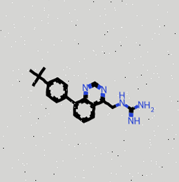 CC(C)(C)c1ccc(-c2cccc3c(CNC(=N)N)ncnc23)cc1